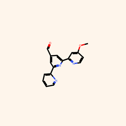 COc1ccnc(-c2cc(C=O)cc(-c3ccccn3)n2)c1